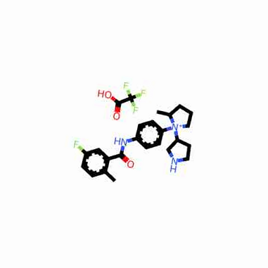 Cc1ccc(F)cc1C(=O)Nc1ccc([N+]2(C3CCNC3)CCCC2C)cc1.O=C(O)C(F)(F)F